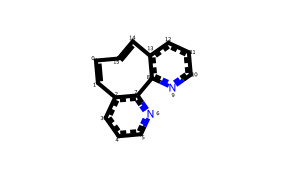 C1=C\c2cccnc2-c2ncccc2/C=C/1